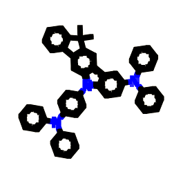 CC1(C)c2ccccc2-c2cc3c(cc21)c1cc(N(c2ccccc2)c2ccccc2)ccc1n3-c1ccc(N(c2ccccc2)c2ccccc2)cc1